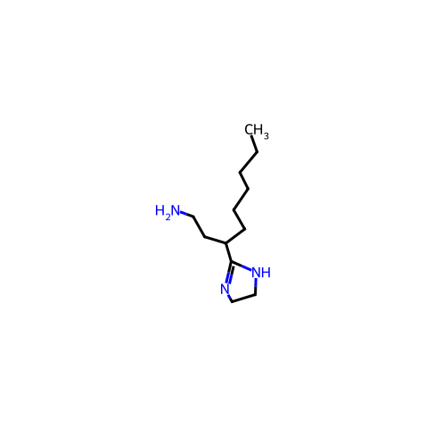 CCCCCCC(CCN)C1=NCCN1